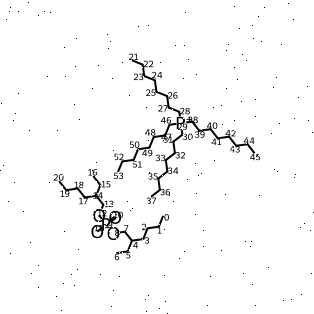 CCCCC(CC)COP(=O)([O-])OCC(CC)CCCC.CCCCCCCC[P+](CCCCCCCC)(CCCCCCCC)CCCCCCCC